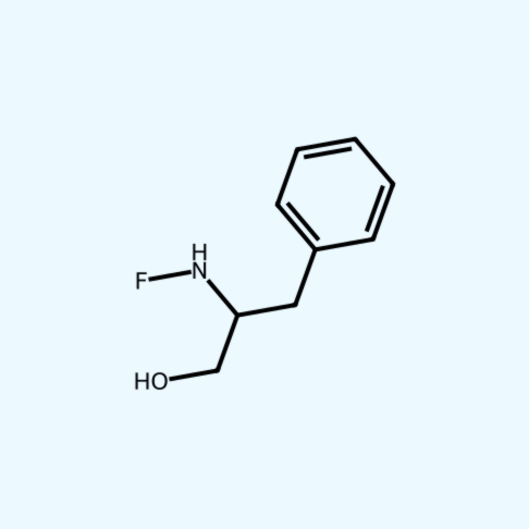 OCC(Cc1ccccc1)NF